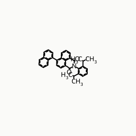 CC(C)c1cccc(C(C)C)c1N1C(=O)c2cccc3c(-c4cccc5ccccc45)ccc(c23)C1=O